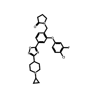 O=C1CCCN1Cc1ccc(-c2nc(C3CCN(C4CC4)CC3)no2)cc1Oc1ccc(Cl)c(F)c1